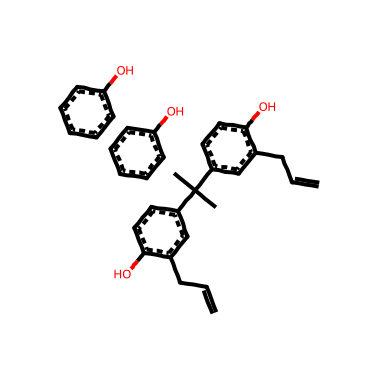 C=CCc1cc(C(C)(C)c2ccc(O)c(CC=C)c2)ccc1O.Oc1ccccc1.Oc1ccccc1